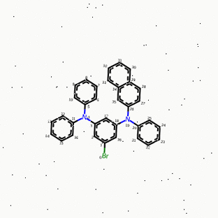 Brc1cc(N(c2ccccc2)c2ccccc2)cc(N(c2ccccc2)c2ccc3ccccc3c2)c1